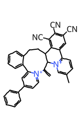 C=C1C2C(CCc3ccccc3-c3cc(-c4ccccc4)cc[n+]31)c1c(cc(C#N)c(C#N)c1C#N)-c1ccc(C)c[n+]12